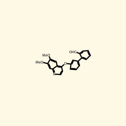 COc1cc2nccc(Oc3cccc(-c4ccccc4C=O)c3)c2cc1OC